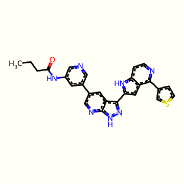 CCCC(=O)Nc1cncc(-c2cnc3[nH]nc(-c4cc5c(-c6ccsc6)nccc5[nH]4)c3c2)c1